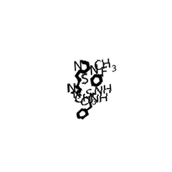 CN(c1ccc(NC(=S)NC(=O)Cc2ccccc2)cc1F)c1ccnc2cc(-c3cn(C)cn3)sc12